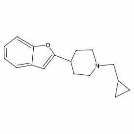 c1ccc2oc(C3CCN(CC4CC4)CC3)cc2c1